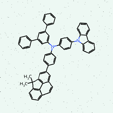 CC1(C)c2cccc3ccc4cc(-c5ccc(N(c6ccc(-n7c8ccccc8c8ccccc87)cc6)c6cc(-c7ccccc7)cc(-c7ccccc7)c6)cc5)cc1c4c23